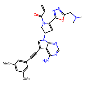 C=CC(=O)N1C[C@H](n2cc(C#Cc3cc(OC)cc(OC)c3)c3c(N)ncnc32)C=C1c1nnc(CN(C)C)o1